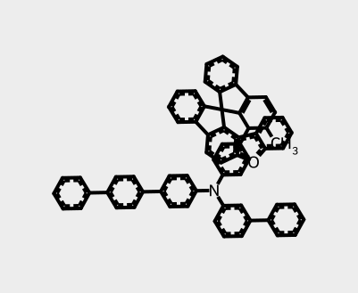 CC1C=CC2=C(C1c1ccc(N(c3ccc(-c4ccc(-c5ccccc5)cc4)cc3)c3cccc(-c4ccccc4)c3)cc1)C1(c3ccccc32)c2ccccc2-c2ccc3oc4ccccc4c3c21